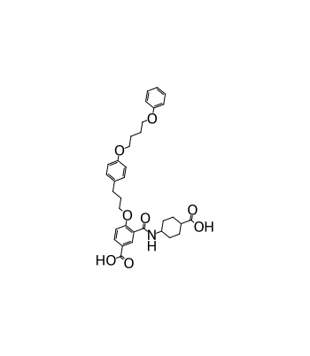 O=C(O)c1ccc(OCCCc2ccc(OCCCCOc3ccccc3)cc2)c(C(=O)NC2CCC(C(=O)O)CC2)c1